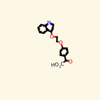 O=C(O)C(=O)c1ccc(OCCOc2ccnc3ccccc23)cc1